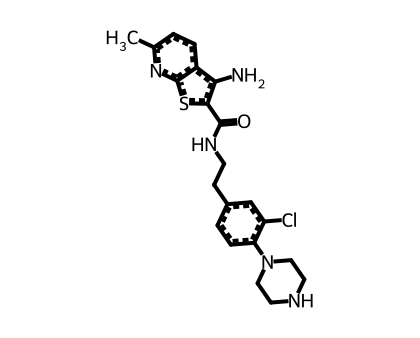 Cc1ccc2c(N)c(C(=O)NCCc3ccc(N4CCNCC4)c(Cl)c3)sc2n1